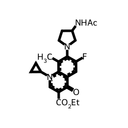 CCOC(=O)c1cn(C2CC2)c2c(C)c(N3CCC(NC(C)=O)C3)c(F)cc2c1=O